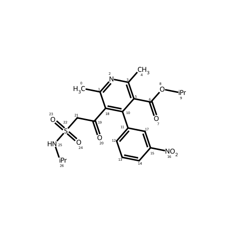 Cc1nc(C)c(C(=O)OC(C)C)c(-c2cccc([N+](=O)[O-])c2)c1C(=O)CS(=O)(=O)NC(C)C